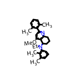 CCN(c1cccc(C)c1C)C1CCCc2nc(-c3c(C)cccc3C)cc(OC)c21